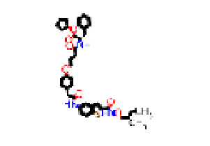 CC[C@H](C)CONC(=O)c1cc2cc(NC(=O)Cc3ccc(OCCCC(=O)N[C@@H](Cc4ccccc4)C(=O)OC4CCCC4)cc3)ccc2s1